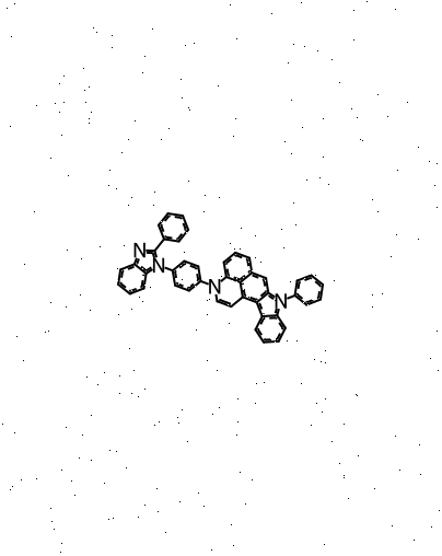 C1=CN(c2ccc(-n3c(-c4ccccc4)nc4ccccc43)cc2)c2cccc3cc4c(c1c23)c1ccccc1n4-c1ccccc1